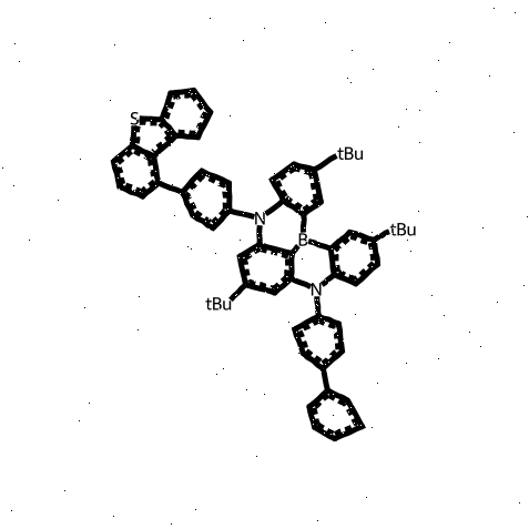 CC(C)(C)c1ccc2c(c1)B1c3cc(C(C)(C)C)ccc3N(c3ccc(-c4cccc5sc6ccccc6c45)cc3)c3cc(C(C)(C)C)cc(c31)N2c1ccc(-c2ccccc2)cc1